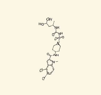 CC(CC(O)O)NC(=O)NS(=O)(=O)N1CCC(NC(=O)c2cc3c(Cl)c(Cl)ccc3n2C)CC1